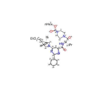 CCCCCCOC(=O)N1CCN(C(=O)[C@@H](NC(=O)c2cc(N3C[C@@H]4[C@H](C3)[C@@H]4C(=O)OCC)nc(-c3ccccc3)n2)C(C)C)CC1